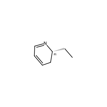 CC[C@@H]1CC=CC=N1